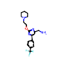 NCc1cc(-c2ccc(C(F)(F)F)cc2)nc(OCCN2CCCCC2)n1